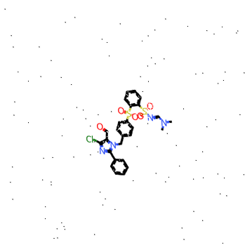 CN(C)C=NS(=O)(=O)c1ccccc1S(=O)(=O)c1ccc(Cn2c(-c3ccccc3)nc(Cl)c2C=O)cc1